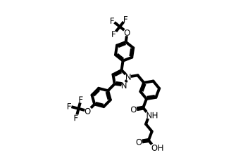 O=C(O)CCNC(=O)C1=CCCC(Cn2nc(-c3ccc(OC(F)(F)F)cc3)cc2-c2ccc(OC(F)(F)F)cc2)=C1